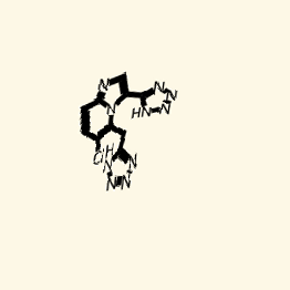 Clc1ccc2ncc(-c3nnn[nH]3)n2c1Cc1nnn[nH]1